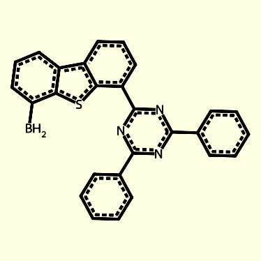 Bc1cccc2c1sc1c(-c3nc(-c4ccccc4)nc(-c4ccccc4)n3)cccc12